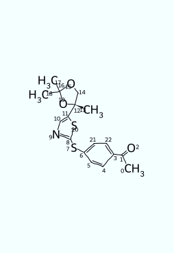 CC(=O)c1ccc(Sc2ncc([C@@]3(C)COC(C)(C)O3)s2)cc1